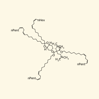 CCCCC/C=C\C/C=C\CCCCCCCCOC(=O)C(CCN(C)C)(C(=O)OCCCCCCCC/C=C\C/C=C\CCCCC)C([C@@H]1CC[C@@H]2OC(CCCCCCC/C=C\C/C=C\CCCCCC)(CCCCCCCC/C=C\C/C=C\CCCCC)O[C@@H]2C1)N(C)C